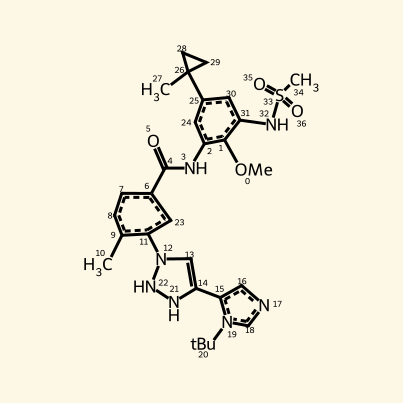 COc1c(NC(=O)c2ccc(C)c(N3C=C(c4cncn4C(C)(C)C)NN3)c2)cc(C2(C)CC2)cc1NS(C)(=O)=O